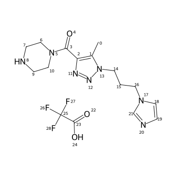 Cc1c(C(=O)N2CCNCC2)nnn1CCCn1ccnc1.O=C(O)C(F)(F)F